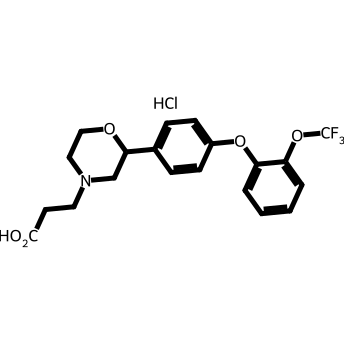 Cl.O=C(O)CCN1CCOC(c2ccc(Oc3ccccc3OC(F)(F)F)cc2)C1